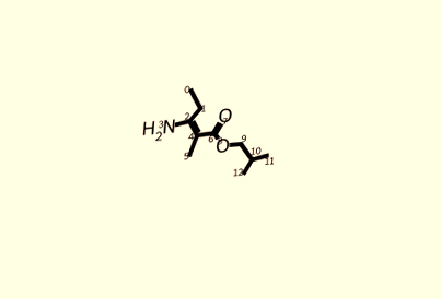 CCC(N)=C(C)C(=O)OCC(C)C